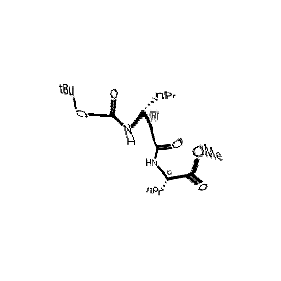 CCC[C@H](NC(=O)[C@@H](CCC)NC(=O)OC(C)(C)C)C(=O)OC